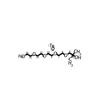 CC(C)(O)COCCOCCOCCOCCO.[O].[Te]